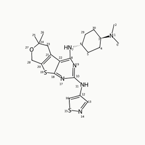 CN(C)[C@H]1CC[C@H](Nc2nc(Nc3cnsc3)nc3sc4c(c23)CC(C)(C)OC4)CC1